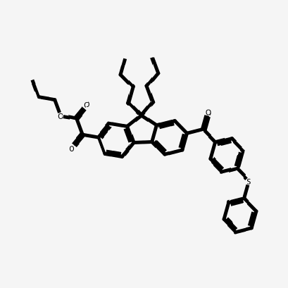 CCCCC1(CCCC)c2cc(C(=O)C(=O)OCCC)ccc2-c2ccc(C(=O)c3ccc(Sc4ccccc4)cc3)cc21